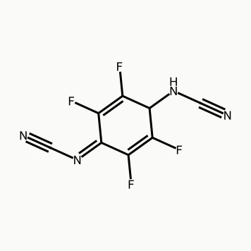 N#CN=C1C(F)=C(F)C(NC#N)C(F)=C1F